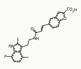 Cc1[nH]c2c(F)ccc(C)c2c1CCNC(=O)C=Cc1ccc2oc(C(=O)O)cc2c1